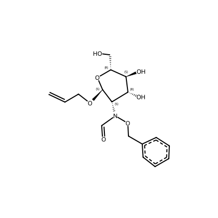 C=CCO[C@H]1O[C@H](CO)[C@@H](O)[C@H](O)[C@@H]1N(C=O)OCc1ccccc1